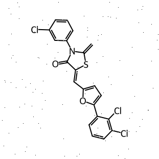 C=c1s/c(=C\c2ccc(-c3cccc(Cl)c3Cl)o2)c(=O)n1-c1cccc(Cl)c1